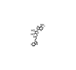 Nc1ncnc2c1ncn2C1OC(CNCCn2cnc3ccncc32)C(O)C1O